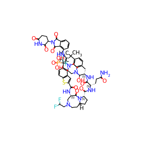 CC(C)(C)c1ccc(C[C@H](NC(=O)[C@H](CCC(N)=O)NC(=O)[C@@H]2CC[C@@H]3CCN(CC(F)F)C[C@H](NC(=O)c4cc5cc(C(F)(F)P(=O)(O)O)ccc5s4)C(=O)N32)C(O)N2CCN(CCNc3cccc4c3C(=O)N(C3CCC(=O)NC3=O)C4=O)CC2)cc1